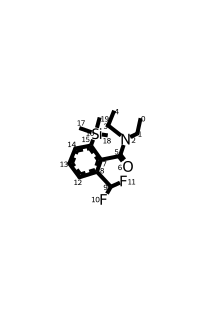 CCN(CC)C(=O)c1c(C(F)F)cccc1[Si](C)(C)C